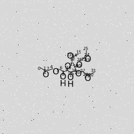 CC1OC1COCC(O)C(OCC1OC1C)C(O)C(COCC1OC1C)OCC1OC1C